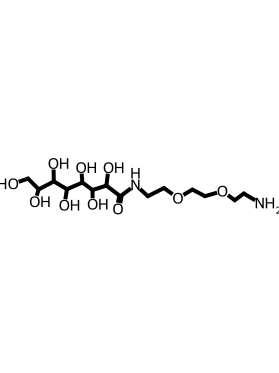 NCCOCCOCCNC(=O)C(O)C(O)C(O)C(O)C(O)C(O)CO